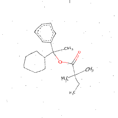 CCC(C)(C)C(=O)OC(C)(c1ccccc1)C1CCCCC1